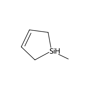 C[SiH]1CC=CC1